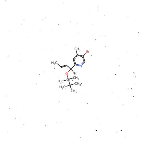 [2H]C(C=CC)(O[Si](C)(C)C(C)(C)C)c1cc(C)c(Br)cn1